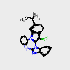 BC(C)c1ccc2c(Cl)c(-n3c(N)nc4ccccc43)n(-c3ccccc3)c2c1